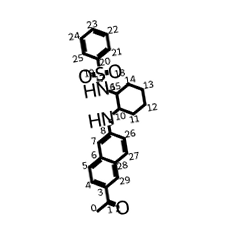 CC(=O)c1ccc2cc(NC3CCCCC3NS(=O)(=O)c3ccccc3)ccc2c1